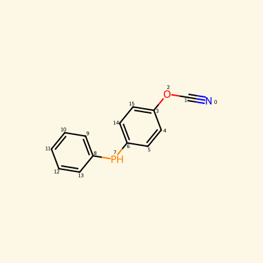 N#COc1ccc(Pc2ccccc2)cc1